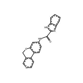 O=C(Nc1ccc2c(c1)OCc1cnccc1-2)c1nc2ccccc2[nH]1